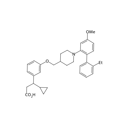 CCc1ccccc1-c1ccc(OC)cc1N1CCC(COc2cccc(C(CC(=O)O)C3CC3)c2)CC1